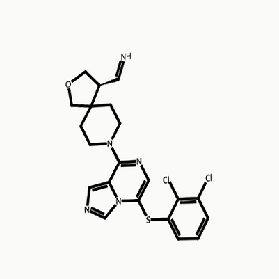 N=C[C@@H]1COCC12CCN(c1ncc(Sc3cccc(Cl)c3Cl)n3cncc13)CC2